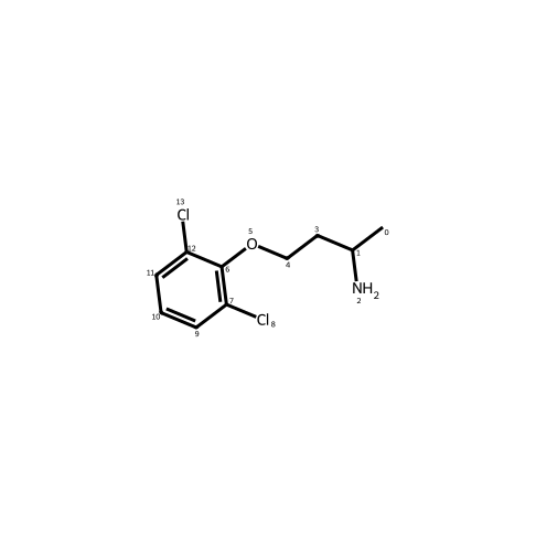 CC(N)CCOc1c(Cl)cccc1Cl